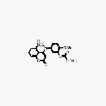 CCCCCC(=O)Oc1cc(N(C)C2=CC(=O)OC3=CCCC(C)C32)ccc1OC